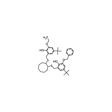 CC(C)(C)c1cc(CSC2CCCCCCC2SCc2cc(C(C)(C)C)cc(OCc3ccccc3)c2O)c(O)c(OCP)c1